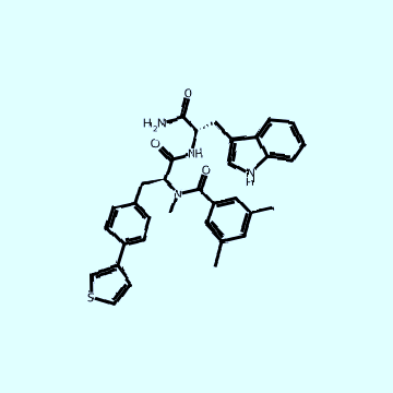 Cc1cc(C)cc(C(=O)N(C)[C@@H](Cc2ccc(-c3ccsc3)cc2)C(=O)N[C@@H](Cc2c[nH]c3ccccc23)C(N)=O)c1